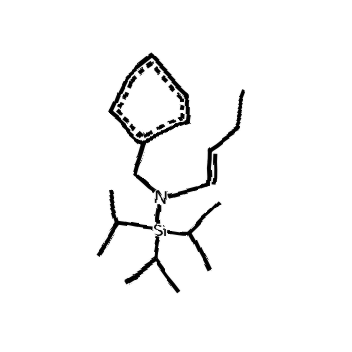 CC/C=C/N(Cc1ccccc1)[Si](C(C)C)(C(C)C)C(C)C